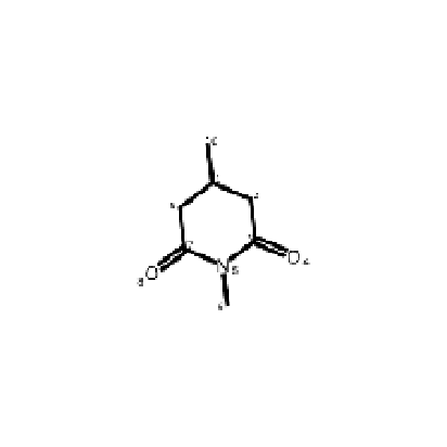 [CH2]C1CC(=O)N(C)C(=O)C1